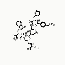 CC(C)C[C@H](NC(=O)CNC(=O)[C@H](Cc1ccccc1)NC(=O)c1ccc(CN)cc1)C(=O)N[C@@H](CCCNC(=N)N)C(=O)N[C@@H](Cc1c[nH]c2ccccc12)C(N)=O